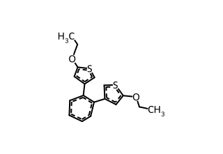 CCOc1cc(-c2ccccc2-c2csc(OCC)c2)cs1